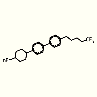 CCCC1CCC(c2ccc(-c3ccc(CCCCC(F)(F)F)cc3)cc2)CC1